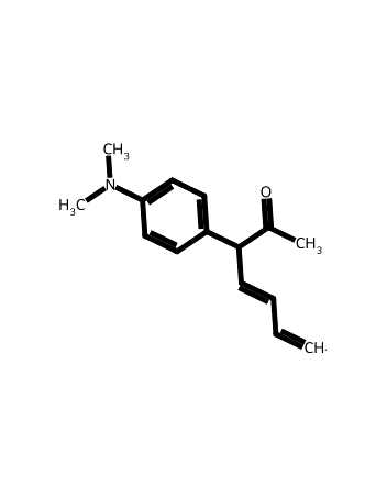 [CH]=CC=CC(C(C)=O)c1ccc(N(C)C)cc1